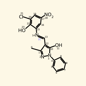 Cc1nn(-c2ccccc2)c(O)c1/C=N/c1cc([N+](=O)[O-])cc(Cl)c1O